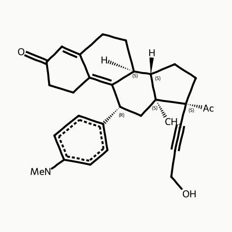 CNc1ccc([C@H]2C[C@@]3(C)[C@@H](CC[C@]3(C#CCO)C(C)=O)[C@@H]3CCC4=CC(=O)CCC4=C32)cc1